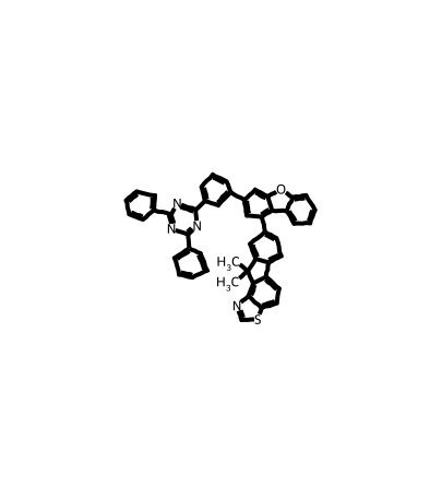 CC1(C)c2cc(-c3cc(-c4cccc(-c5nc(-c6ccccc6)nc(-c6ccccc6)n5)c4)cc4oc5ccccc5c34)ccc2-c2ccc3scnc3c21